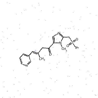 C/C(=C\c1cccnc1)CC(=O)c1cnc(CS(=O)(=O)C(C)C)n1C